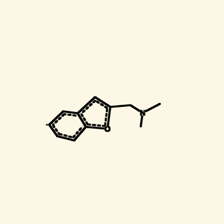 CN(C)Cc1cc2c[c]ccc2o1